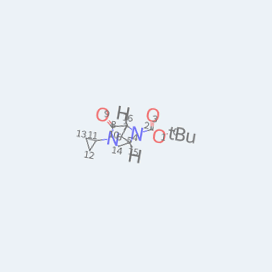 CC(C)(C)OC(=O)N1[C@H]2C[C@@H]1C(=O)N(C1CC1)C2